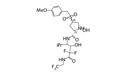 COc1ccc(CS(=O)(=O)[C@H]2CN[C@H](C(=O)NC(C(C)C)C(O)C(F)(F)C(=O)NCC(F)(F)F)C2)cc1.Cl